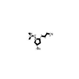 C[SiH](C)ON1C[C@@H](C(C)(C)C)C[C@H]1CCCC#N